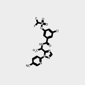 CC(NC(=O)c1cc(Cl)cc(OS(=O)(=O)C(F)F)c1)c1ncnn1-c1ccc(C#N)cn1